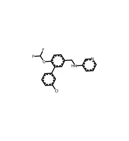 FC(F)Oc1ccc(CNc2cccnc2)cc1-c1cccc(Cl)c1